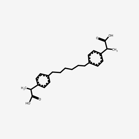 CC(C(=O)O)c1ccc(CCCCCCc2ccc(C(C)C(=O)O)cc2)cc1